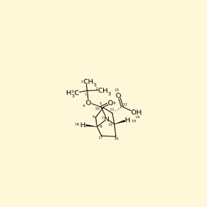 CC(C)(C)OC(=O)N1[C@H]2CC[C@H](C(=O)O)[C@@H]1CC2